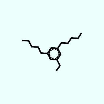 CCCCCc1cc(CC)cc(CCCCC)c1